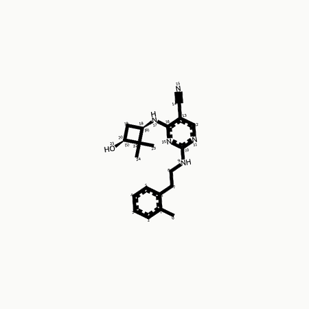 Cc1ccccc1CCNc1ncc(C#N)c(N[C@@H]2C[C@H](O)C2(C)C)n1